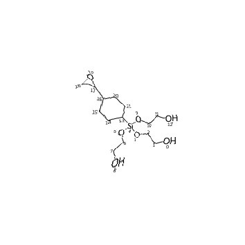 OCCO[Si](OCCO)(OCCO)C1CCC(C2CO2)CC1